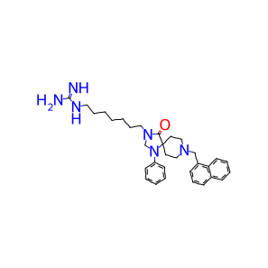 N=C(N)NCCCCCCCN1CN(c2ccccc2)C2(CCN(Cc3cccc4ccccc34)CC2)C1=O